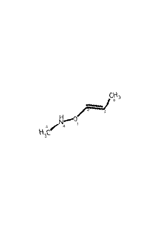 CC=CONC